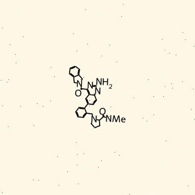 CNC(=O)C1CCCN1Cc1ccccc1-c1ccc2nc(N)nc(C(=O)N3Cc4ccccc4C3)c2c1